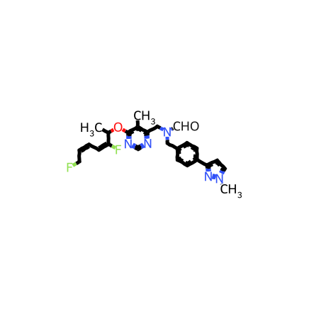 Cc1c(CN(C=O)Cc2ccc(-c3ccn(C)n3)cc2)ncnc1OC(C)/C(F)=C\C=C/CF